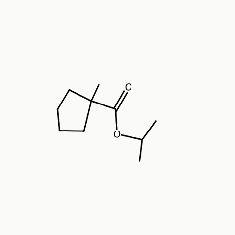 CC(C)OC(=O)C1(C)CCCC1